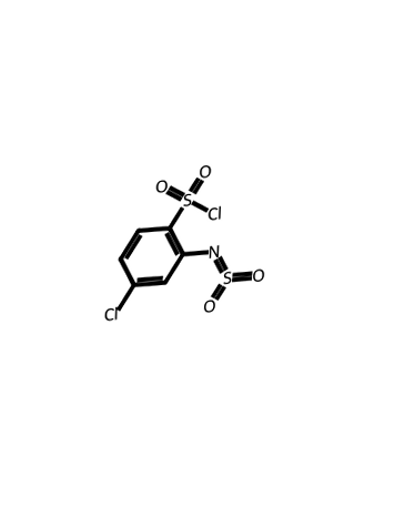 O=S(=O)=Nc1cc(Cl)ccc1S(=O)(=O)Cl